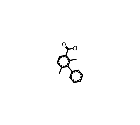 Cc1ccc(C(=O)Cl)c(C)c1-c1ccccc1